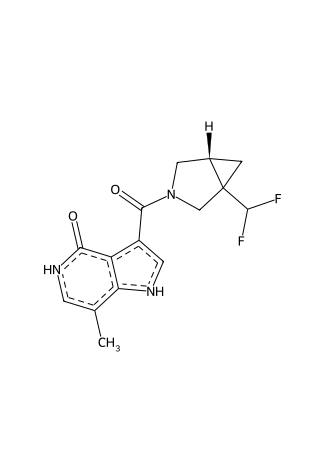 Cc1c[nH]c(=O)c2c(C(=O)N3C[C@@H]4CC4(C(F)F)C3)c[nH]c12